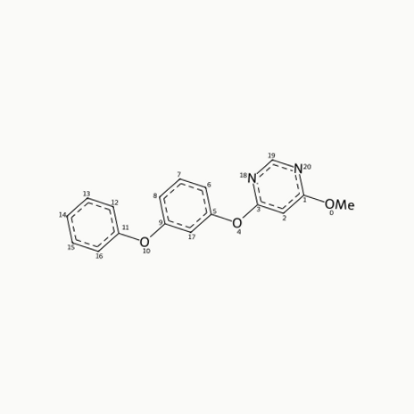 COc1cc(Oc2cccc(Oc3ccccc3)c2)ncn1